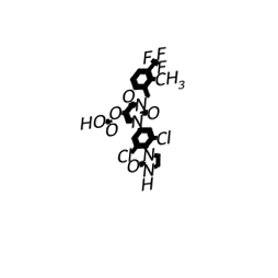 Cc1c(Cn2c(=O)c(OC(=O)O)cn(-c3cc(Cl)c(N4CCNC4=O)c(Cl)c3)c2=O)cccc1C(F)(F)F